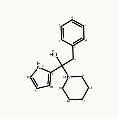 OC(Cc1ccccc1)(c1ccc[nH]1)N1CCCCC1